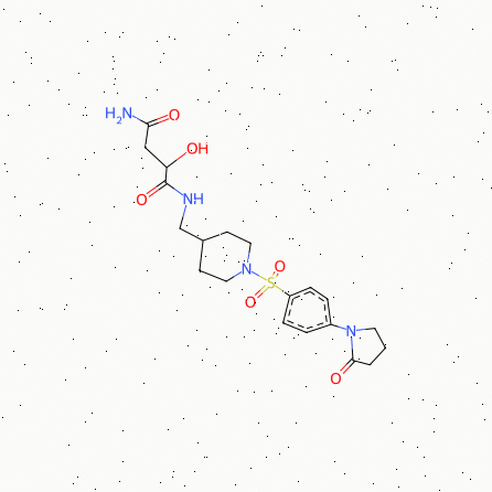 NC(=O)CC(O)C(=O)NCC1CCN(S(=O)(=O)c2ccc(N3CCCC3=O)cc2)CC1